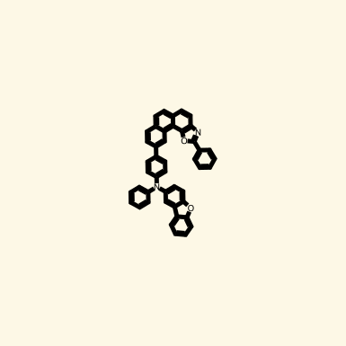 c1ccc(-c2nc3ccc4ccc5ccc(-c6ccc(N(c7ccccc7)c7ccc8oc9ccccc9c8c7)cc6)cc5c4c3o2)cc1